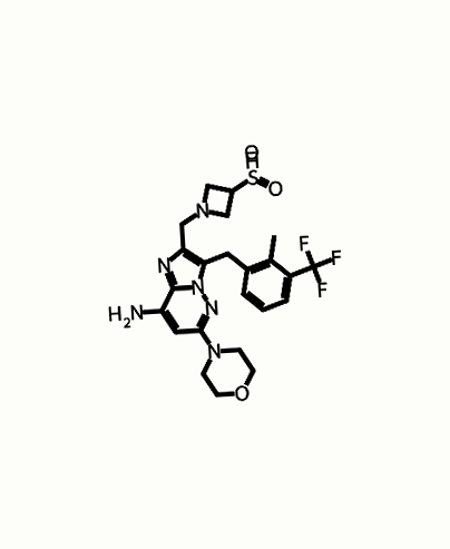 Cc1c(Cc2c(CN3CC([SH](=O)=O)C3)nc3c(N)cc(N4CCOCC4)nn23)cccc1C(F)(F)F